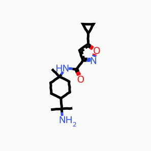 CC1(NC(=O)c2cc(C3CC3)on2)CCC(C(C)(C)N)CC1